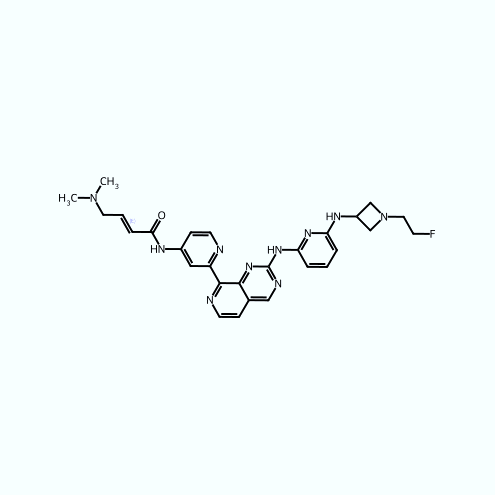 CN(C)C/C=C/C(=O)Nc1ccnc(-c2nccc3cnc(Nc4cccc(NC5CN(CCF)C5)n4)nc23)c1